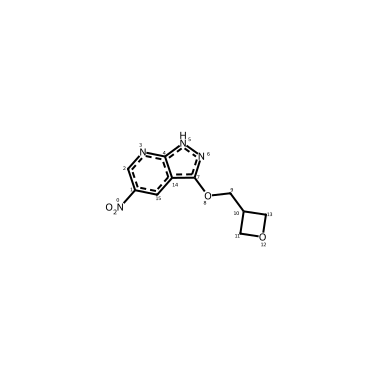 O=[N+]([O-])c1cnc2[nH]nc(OCC3COC3)c2c1